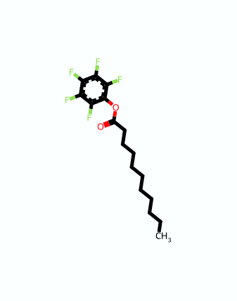 CCCCCCCCCCC(=O)Oc1c(F)c(F)c(F)c(F)c1F